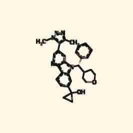 Cc1nnn(C)c1-c1cnc2c3ccc(C4(O)CC4)cc3n([C@H](c3ccccc3)C3CCOCC3)c2c1